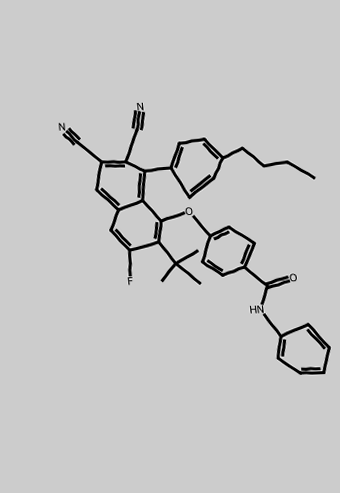 CCCCc1ccc(-c2c(C#N)c(C#N)cc3cc(F)c(C(C)(C)C)c(Oc4ccc(C(=O)Nc5ccccc5)cc4)c23)cc1